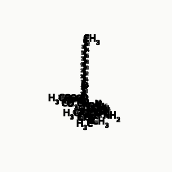 CCCCCCCCCCCCCCCCOCCCO[P@@](=O)(OCOC(=O)OC(C)C)OC[C@H]1O[C@@](C#N)(c2ccc3c(N)ncnn23)[C@H](OC(=O)C(C)C)[C@@H]1OC(=O)C(C)C